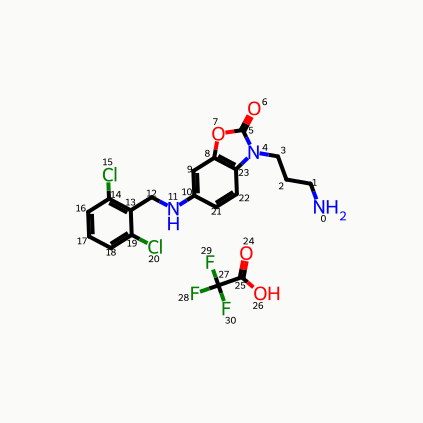 NCCCn1c(=O)oc2cc(NCc3c(Cl)cccc3Cl)ccc21.O=C(O)C(F)(F)F